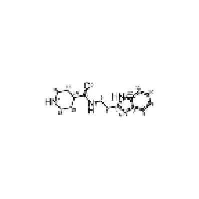 O=C(NCCc1nc2ccccc2[nH]1)C1CCNCC1